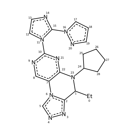 CCC1c2nncn2-c2cnc(-n3ccnc3-n3cccn3)nc2N1C1CCCC1